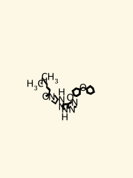 CN(C)CC=CC(=O)N1CCC(Nc2n[nH]c3ncnc(Oc4ccc(Oc5ccccc5)cc4)c23)C1